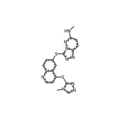 CNc1ccc2nnc(Sc3ccc4nccc(Sc5nncn5C)c4c3)n2n1